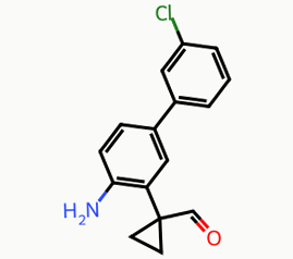 Nc1ccc(-c2cccc(Cl)c2)cc1C1(C=O)CC1